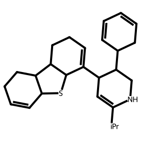 CC(C)C1=CC(C2=CCCC3C2SC2C=CCCC23)C(C2C=CC=CC2)CN1